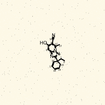 CCC1(c2nc3cc(O)c(C#N)c(C)n3n2)C=CC=CC1